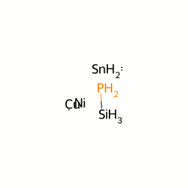 [Cu].[Ni].[SiH3]P.[SnH2]